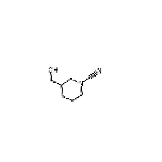 N#CN1CCCC(CO)C1